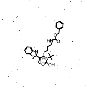 CC(C)(C)N(C(=O)O)[C@@H](CCCCNC(=O)OCc1ccccc1)C(=O)c1nc2ccccc2s1